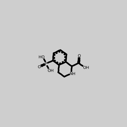 O=C(O)C1NCCc2c1cccc2P(=O)(O)O